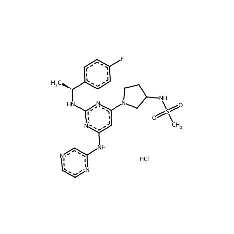 C[C@H](Nc1nc(Nc2cnccn2)cc(N2CCC(NS(C)(=O)=O)C2)n1)c1ccc(F)cc1.Cl